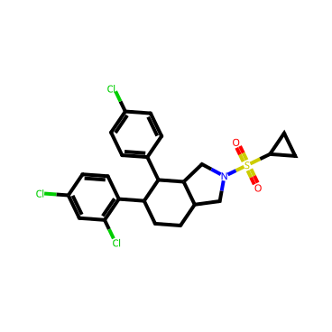 O=S(=O)(C1CC1)N1CC2CCC(c3ccc(Cl)cc3Cl)C(c3ccc(Cl)cc3)C2C1